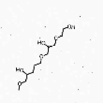 COCC(O)CCCOCC(O)COCCO